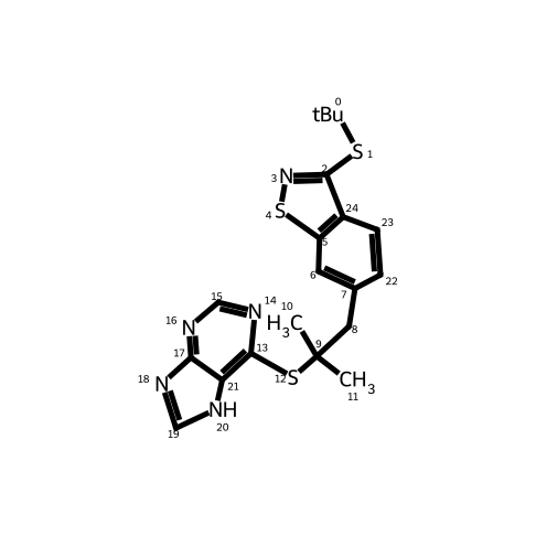 CC(C)(C)Sc1nsc2cc(CC(C)(C)Sc3ncnc4nc[nH]c34)ccc12